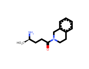 N[C@@H](CCC(=O)N1CCc2ccccc2C1)C(=O)O